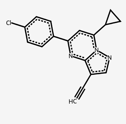 C#Cc1cnn2c(C3CC3)cc(-c3ccc(Cl)cc3)nc12